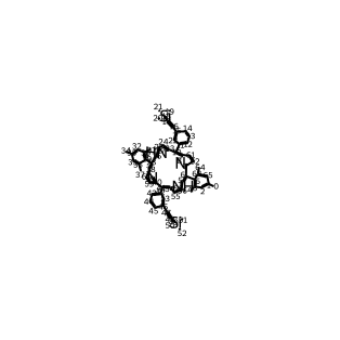 Cc1cc(C)c(-c2c3nc(c(-c4cccc(C#C[Si](C)(C)C)c4)c4ccc([nH]4)c(-c4c(C)cc(C)cc4C)c4nc(c(-c5cccc(C#C[Si](C)(C)C)c5)c5ccc2[nH]5)C=C4)C=C3)c(C)c1